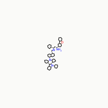 NC(/C=C(\N=C\c1cccc2c(N3c4ccccc4-c4c(n(-c5ccccc5)c5ccccc45)-c4ccccc43)cccc12)c1ccccc1)c1ccc2oc3ccccc3c2c1